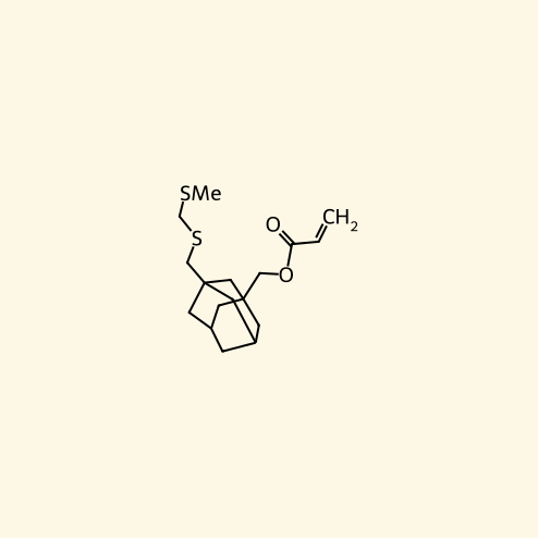 C=CC(=O)OCC12CC3CC(C1)CC(CSCSC)(C3)C2